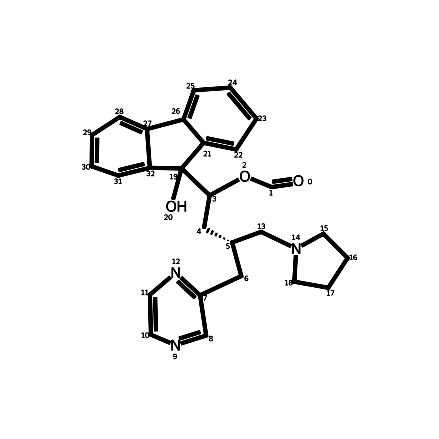 O=COC(C[C@@H](Cc1cnccn1)CN1CCCC1)C1(O)c2ccccc2-c2ccccc21